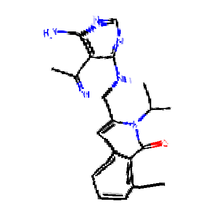 CC(=N)c1c(N)ncnc1NCc1cc2cccc(C)c2c(=O)n1C(C)C